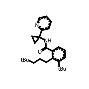 CC(C)(C)CCCc1c(C(=O)NC2(c3ccccn3)CC2)cccc1C(C)(C)C